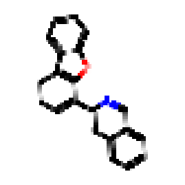 C1=C(c2cc3ccccc3cn2)c2oc3ccccc3c2CC1